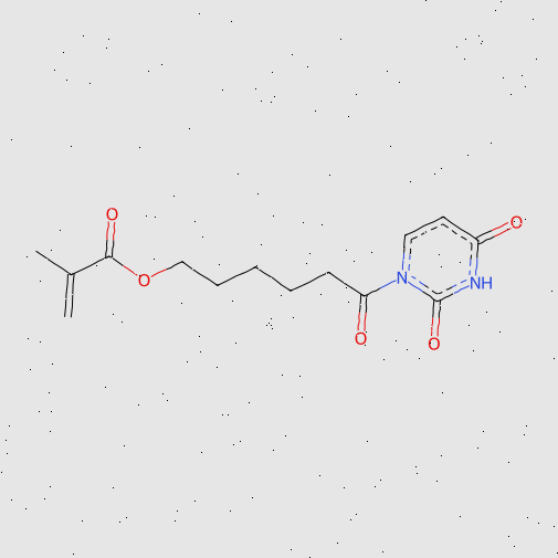 C=C(C)C(=O)OCCCCCC(=O)n1ccc(=O)[nH]c1=O